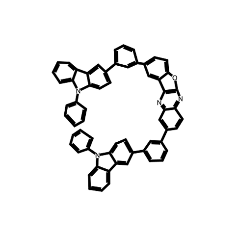 c1ccc(-n2c3ccccc3c3cc(-c4cccc(-c5ccc6nc7oc8ccc(-c9cccc(-c%10ccc%11c(c%10)c%10ccccc%10n%11-c%10ccccc%10)c9)cc8c7nc6c5)c4)ccc32)cc1